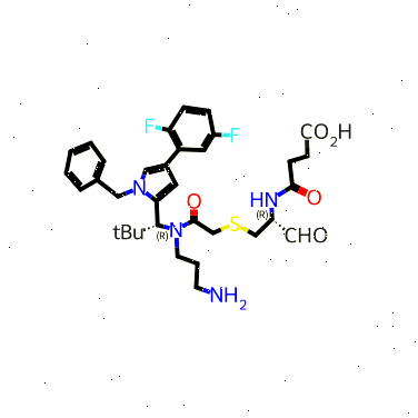 CC(C)(C)[C@H](c1cc(-c2cc(F)ccc2F)cn1Cc1ccccc1)N(CCCN)C(=O)CSC[C@@H](C=O)NC(=O)CCC(=O)O